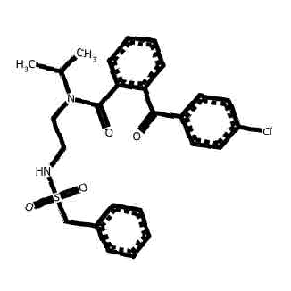 CC(C)N(CCNS(=O)(=O)Cc1ccccc1)C(=O)c1ccccc1C(=O)c1ccc(Cl)cc1